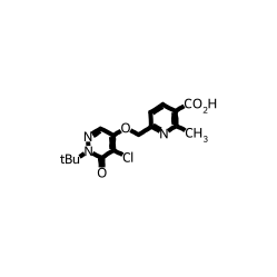 Cc1nc(COc2cnn(C(C)(C)C)c(=O)c2Cl)ccc1C(=O)O